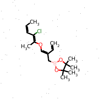 C=C/C(=C\O/C(C)=C(Cl)/C=C\C)CB1OC(C)(C)C(C)(C)O1